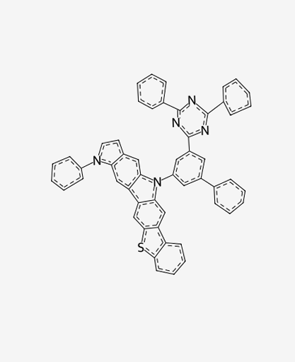 c1ccc(-c2cc(-c3nc(-c4ccccc4)nc(-c4ccccc4)n3)cc(-n3c4cc5ccn(-c6ccccc6)c5cc4c4cc5sc6ccccc6c5cc43)c2)cc1